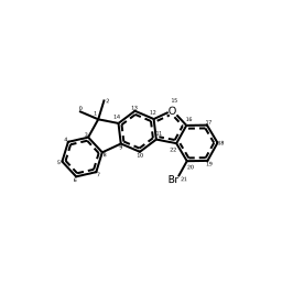 CC1(C)c2ccccc2-c2cc3c(cc21)oc1cccc(Br)c13